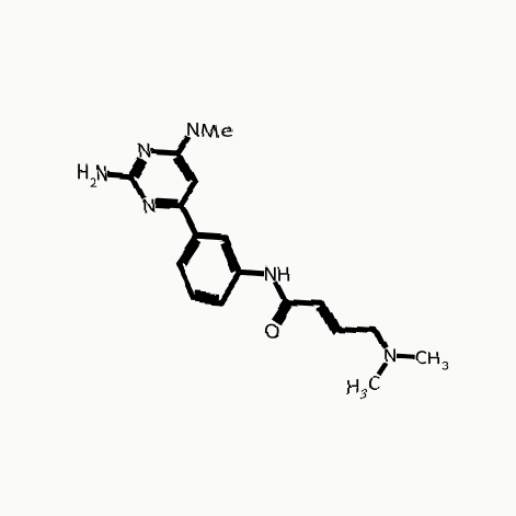 CNc1cc(-c2cccc(NC(=O)C=CCN(C)C)c2)nc(N)n1